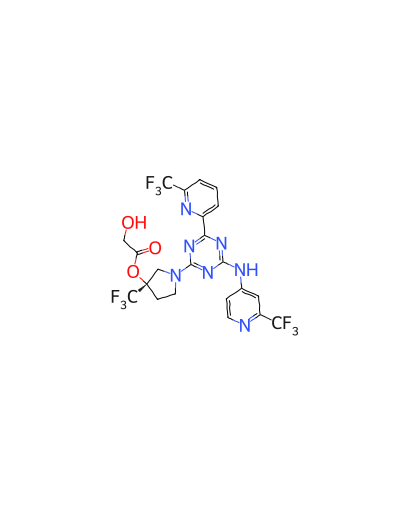 O=C(CO)O[C@@]1(C(F)(F)F)CCN(c2nc(Nc3ccnc(C(F)(F)F)c3)nc(-c3cccc(C(F)(F)F)n3)n2)C1